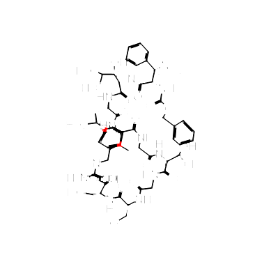 CC(C)C[C@H](NC(=O)[C@@H](NC(=O)[C@@H](NC(=O)OCc1ccccc1)[C@H](N)c1ccccc1)[C@H](O)C(C)C)C(=O)N[C@H](CCCNC(=N)N)C(=O)N[C@@H](Cc1ccccc1)C(=O)N[C@H](C(=O)NCC(=O)N[C@@H](CO)C(=O)N[C@@H](CO)C(=O)O)[C@H](C)O